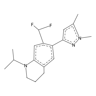 Cc1cc(-c2cc3c(cc2C(F)F)N(C(C)C)CCC3)nn1C